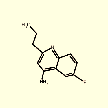 CCCc1cc(N)c2cc(F)ccc2n1